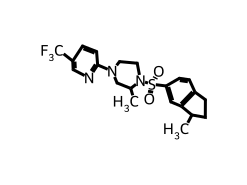 CC1CCc2ccc(S(=O)(=O)N3CCN(c4ccc(C(F)(F)F)cn4)CC3C)cc21